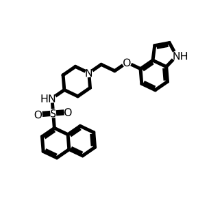 O=S(=O)(NC1CCN(CCOc2cccc3[nH]ccc23)CC1)c1cccc2ccccc12